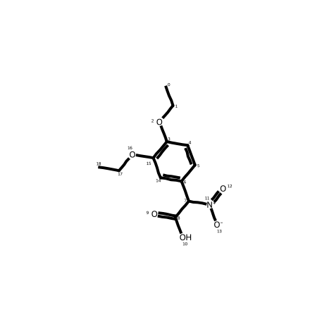 CCOc1ccc(C(C(=O)O)[N+](=O)[O-])cc1OCC